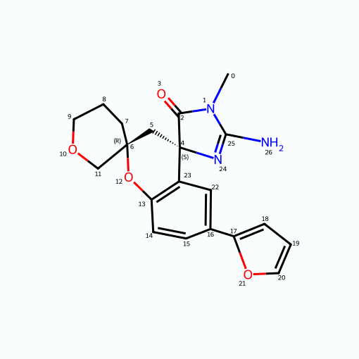 CN1C(=O)[C@@]2(C[C@@]3(CCCOC3)Oc3ccc(-c4ccco4)cc32)N=C1N